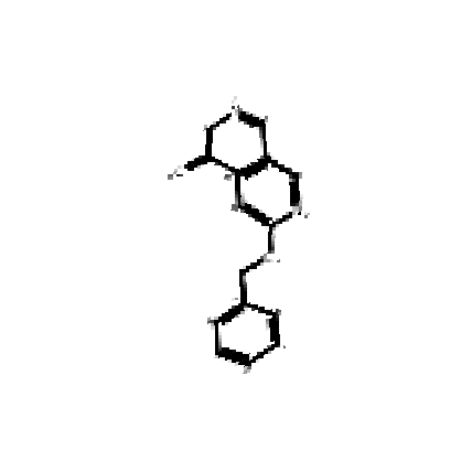 O=C1CN=Cc2cnc(OCc3ccccc3)cc21